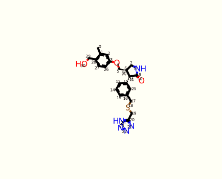 Cc1cc(OC[C@H]2CNC(=O)[C@@H]2c2cccc(CSCc3nnn[nH]3)c2)ccc1CO